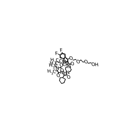 C[C@@H](C(=O)N[C@H](C(=O)N1CCN(C(=O)c2c(OCCOCCOCCO)c3cc(F)c(F)cc3n2C)CC1)C1CCCCC1)N(C)C(=O)OC(C)(C)C